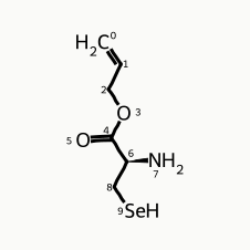 C=CCOC(=O)[C@@H](N)C[SeH]